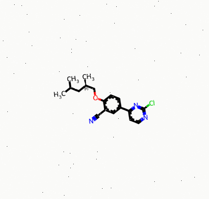 CC(C)C[C@@H](C)COc1ccc(-c2ccnc(Cl)n2)cc1C#N